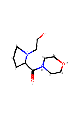 [O]CCN1CCCC1C(=O)N1CCOCC1